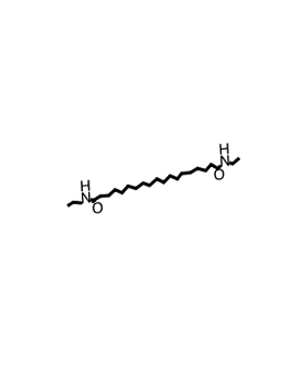 CCCNC(=O)CCCCCCCCCCCCCCCCCC(=O)NCC